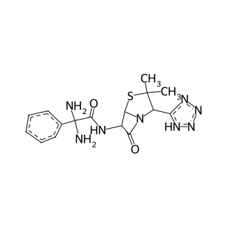 CC1(C)SC2C(NC(=O)C(N)(N)c3ccccc3)C(=O)N2C1c1nnn[nH]1